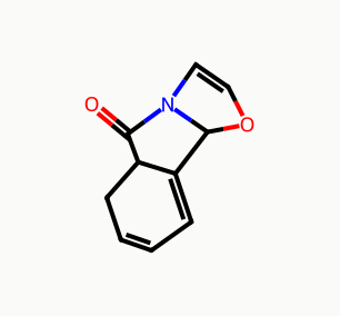 O=C1C2CC=CC=C2C2OC=CN12